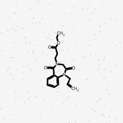 C=CCN1C(=O)CN(CCC(=O)OCC)C(=O)c2ccccc21